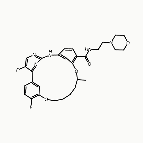 CC1CCCCOc2cc(ccc2F)-c2nc(ncc2F)Nc2ccc(C(=O)NCCN3CCOCC3)c(c2)O1